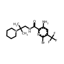 CC(C)(CNC(=O)c1nc(Br)c(C(F)(F)F)cc1N)N1CCCCC1